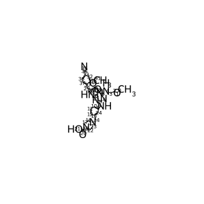 COCCNc1nc(Nc2cccc(CN3CCN(C(=O)O)CC3)c2)nc(N[C@@H](Cc2ccc(C#N)cc2)C(=O)OC)n1